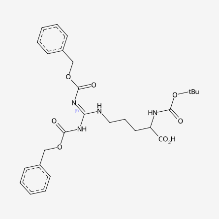 CC(C)(C)OC(=O)NC(CCCN/C(=N\C(=O)OCc1ccccc1)NC(=O)OCc1ccccc1)C(=O)O